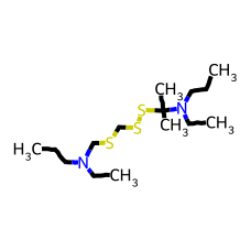 CCCN(CC)CSCSSC(C)(C)N(CC)CCC